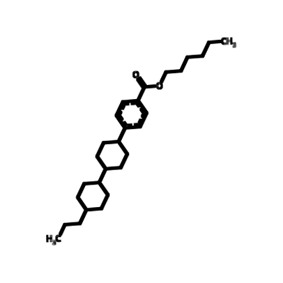 CCCCCCOC(=O)c1ccc(C2CCC(C3CCC(CCC)CC3)CC2)cc1